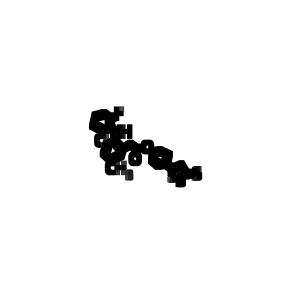 Cc1ccc(Nc2c(F)cccc2Cl)c(CC(=O)Oc2ccc(-c3cc(=S)ss3)cc2)c1